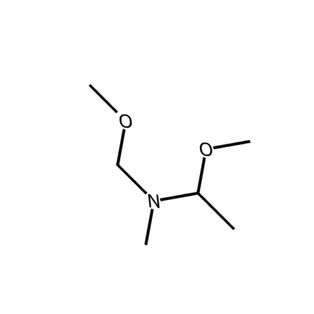 COCN(C)C(C)OC